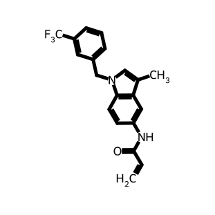 C=CC(=O)Nc1ccc2c(c1)c(C)cn2Cc1cccc(C(F)(F)F)c1